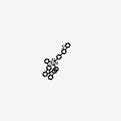 c1ccc(-c2nc(-c3ccc(-c4ccc5c(c4)sc4ccccc45)cc3)nc(-c3ccccc3-c3ccc4c(c3)-c3ccccc3C43c4ccccc4-c4ccccc43)n2)cc1